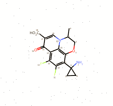 CC1COc2c(C3(N)CC3)c(F)c(F)c3c(=O)c(C(=O)O)cn1c23